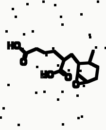 CC1CCC2OC2C1CC(CCCC(=O)O)C(=O)O